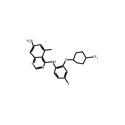 Cc1cc(N)cc2ncnc(Nc3ccc(F)cc3OC3CCC(C(F)(F)F)CC3)c12